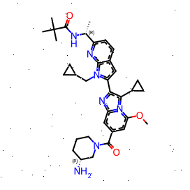 COc1cc(C(=O)N2CCC[C@@H](N)C2)cc2nc(-c3cc4ccc([C@@H](C)NC(=O)C(C)(C)C)nc4n3CC3CC3)c(C3CC3)n12